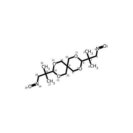 CC(C)(CN=O)C1OCC2(CO1)COC(C(C)(C)CN=O)OC2